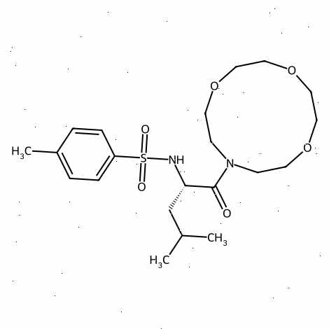 Cc1ccc(S(=O)(=O)N[C@@H](CC(C)C)C(=O)N2CCOCCOCCOCC2)cc1